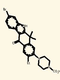 CCc1cc2c(cc1N1CCN(C(=O)O)CC1)C(C)(C)c1[nH]c3cc(Br)ccc3c1C2=O